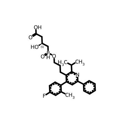 Cc1cc(F)ccc1-c1cc(-c2ccccc2)nc(C(C)C)c1CCCO[PH](=O)C[C@@H](O)CC(=O)O